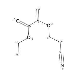 C=C(OCCC#N)C(=O)OCC